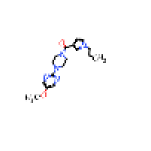 CCCn1ccc(C(=O)N2CCN(c3ncc(OC)cn3)CC2)c1